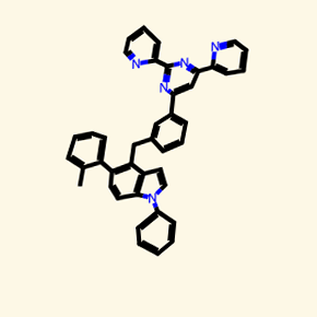 Cc1ccccc1-c1ccc2c(ccn2-c2ccccc2)c1Cc1cccc(-c2cc(-c3ccccn3)nc(-c3ccccn3)n2)c1